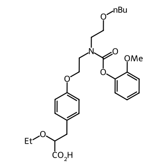 CCCCOCCN(CCOc1ccc(CC(OCC)C(=O)O)cc1)C(=O)Oc1ccccc1OC